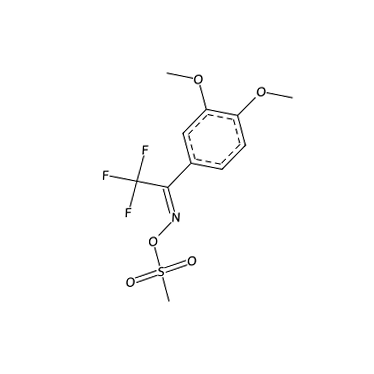 COc1ccc(C(=NOS(C)(=O)=O)C(F)(F)F)cc1OC